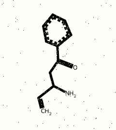 C=CC(N)CC(=O)c1ccccc1